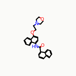 O=C(Nc1ccc(OCCN2CCOCC2)c2ccccc12)c1cccc2ccccc12